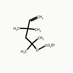 C=CC(C)(C)CC(C)(C)OC(=O)OCC